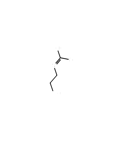 CCCCCC/N=C(/C)CC